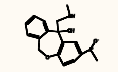 CNCC1(O)c2ccccc2COc2ccc([S+](C)[O-])cc21